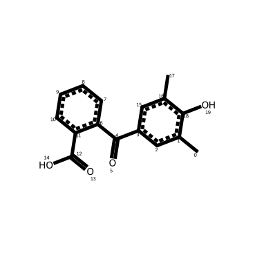 Cc1cc(C(=O)c2ccccc2C(=O)O)cc(C)c1O